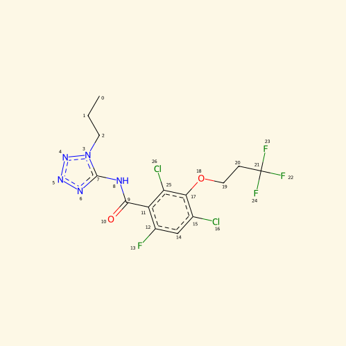 CCCn1nnnc1NC(=O)c1c(F)cc(Cl)c(OCCC(F)(F)F)c1Cl